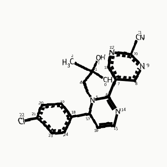 CC(C)(O)CN1C(c2cnc(C#N)nc2)=NC=CC1c1ccc(Cl)cc1